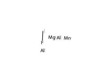 [Al].[Al].[C]F.[Mg].[Mn]